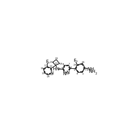 NNc1ccc(-c2ccc(NC3(c4ncccc4F)CCC3)nn2)c(F)c1